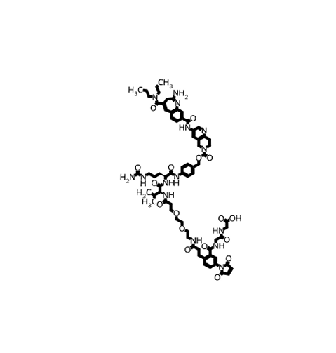 CCCN(CCC)C(=O)C1=Cc2ccc(C(=O)Nc3cnc4c(c3)CN(C(=O)OCc3ccc(NC(=O)[C@H](CCCNC(N)=O)NC(=O)[C@@H](NC(=O)CCOCCOCCNC(=O)CCc5ccc(N6C(=O)C=CC6=O)cc5C(=O)NCC(=O)NCC(=O)O)C(C)C)cc3)CC4)cc2N=C(N)C1